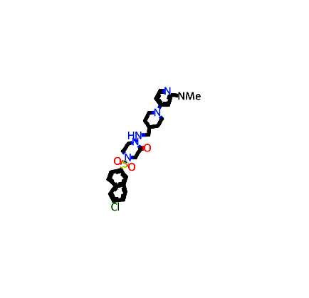 CNc1cc(N2CCC(CNN3CCN(S(=O)(=O)c4ccc5cc(Cl)ccc5c4)CC3=O)CC2)ccn1